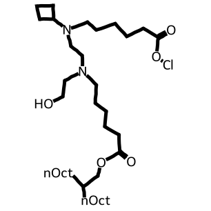 CCCCCCCCC(CCCCCCCC)COC(=O)CCCCCN(CCO)CCN(CCCCCC(=O)OCl)C1CCC1